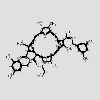 CC[C@H]1c2cc3[nH]c4c(c5nc(cc6[nH]c(cc(n2)[C@@H]1C)c(/C(C)=N\Cc1cc(C(F)(F)F)cc(C(F)(F)F)c1)c6C)[C@@H](C)[C@@H]5CCOC(C)=O)C(=O)N(Cc1cc(C(F)(F)F)cc(C(F)(F)F)c1)C(=O)c4c3C